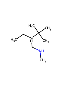 CC[SiH](CNC)C(C)(C)C